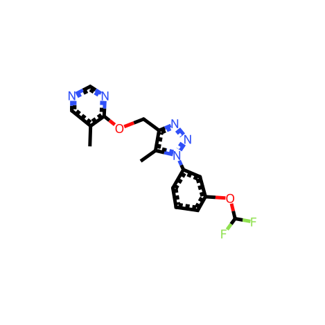 Cc1cncnc1OCc1nnn(-c2cccc(OC(F)F)c2)c1C